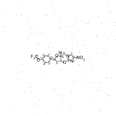 O=[N+]([O-])c1cn2c(n1)OC1C[C@@H](c3ccc(OC(F)(F)F)cc3)O[C@H]1C2